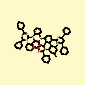 Cc1cc(C)c(-c2c(-c3nc(-c4ccccc4)cc(-c4ccccc4)n3)ccc(N3c4ccccc4N(c4nc(-c5ccccc5)nc(-c5ccccc5)n4)c4ccccc43)c2-c2cc(-c3ccccc3)nc(-c3ccccc3)n2)c(C)c1